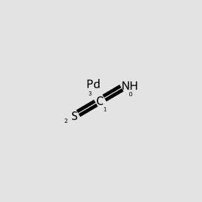 N=C=S.[Pd]